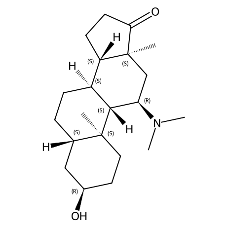 CN(C)[C@@H]1C[C@]2(C)C(=O)CC[C@H]2[C@@H]2CC[C@H]3C[C@H](O)CC[C@]3(C)[C@H]21